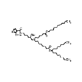 CCCCCCCCCCCOC(=O)CCCCCN(CCCCCCCC(=O)OC(CCCCCCCC)CCCCCCCC)CC(O)CCCCNC(=O)c1cc[nH]c1O